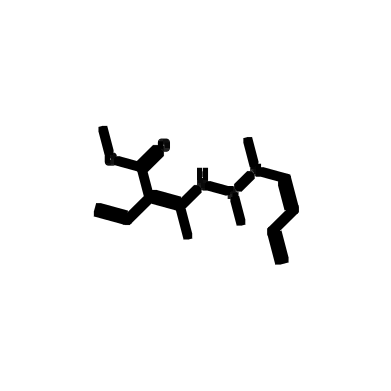 C=C/C=C\N(C)N(C)N/C(C)=C(/C=C)C(=O)OC